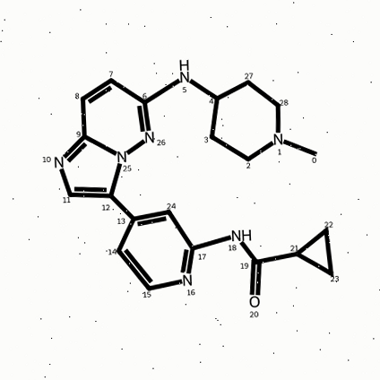 CN1CCC(Nc2ccc3ncc(-c4ccnc(NC(=O)C5CC5)c4)n3n2)CC1